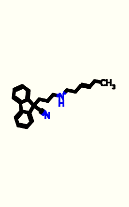 CC/C=C/CCNCCCC1(C#N)c2ccccc2-c2ccccc21